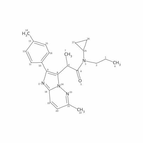 CCCN(C(=O)C(C)c1c(-c2ccc(C)cc2)nc2ccc(C)nn12)C1CC1